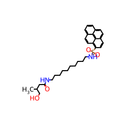 CC(CO)CC(=O)NCCCCCCCCCCNS(=O)(=O)c1ccc2ccc3cccc4ccc1c2c34